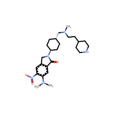 CN(CCC1CCNCC1)C[C@H]1CC[C@H](N2Cc3cc([N+](=O)[O-])c(N(C)C)cc3C2=O)CC1